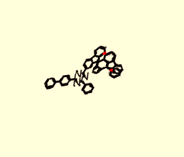 c1ccc(-c2ccc(-c3nc(-c4ccccc4)nc(-c4ccc5c(c4)C4(c6ccccc6-5)c5ccccc5C5(c6ccccc6)c6ccccc6-c6cccc4c65)n3)cc2)cc1